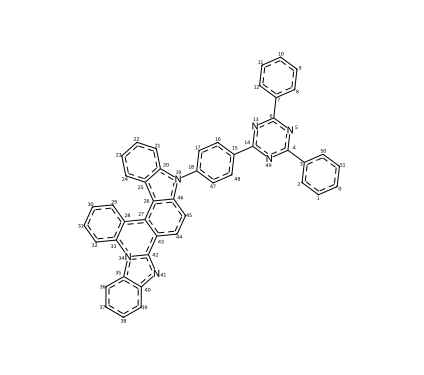 c1ccc(-c2nc(-c3ccccc3)nc(-c3ccc(-n4c5ccccc5c5c6c7ccccc7n7c8ccccc8nc7c6ccc54)cc3)n2)cc1